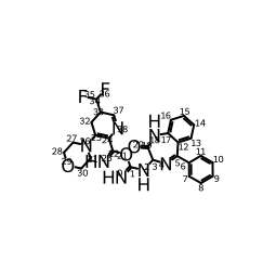 N=C(NC1N=C(c2ccccc2)c2ccccc2NC1=O)OC(=N)C1=C(N2CCOCC2)CC(C(F)F)C=N1